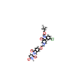 CN1C(=O)CCC(N2Cc3cc(OCCN4CCC5(CC4)C(=O)N(COCC[Si](C)(C)C)c4ccc(Cl)cc45)ccc3C2=O)C1=O